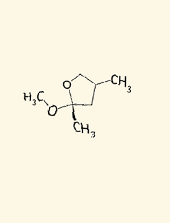 CO[C@@]1(C)CC(C)CO1